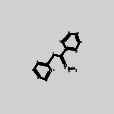 O=C(Cc1ccccn1)c1ccccc1.[BeH2]